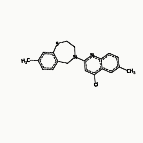 Cc1ccc2c(c1)SCCN(c1cc(Cl)c3cc(C)ccc3n1)C2